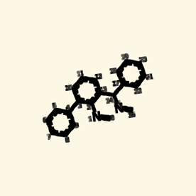 C=Nc1c(-c2ccccc2)cccc1C(N=C)c1ccccc1